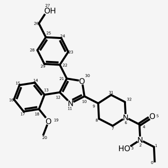 CCN(O)C(=O)N1CCC(c2nc(-c3ccccc3OC)c(-c3ccc(CO)cc3)o2)CC1